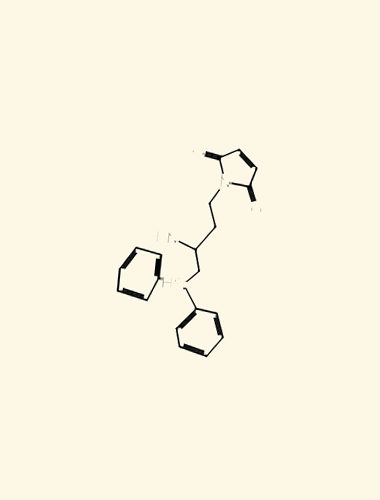 NC(CCN1C(=O)C=CC1=O)C[SiH](c1ccccc1)c1ccccc1